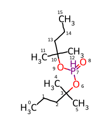 CCCC(C)(C)O[PH](=O)OC(C)(C)CCC